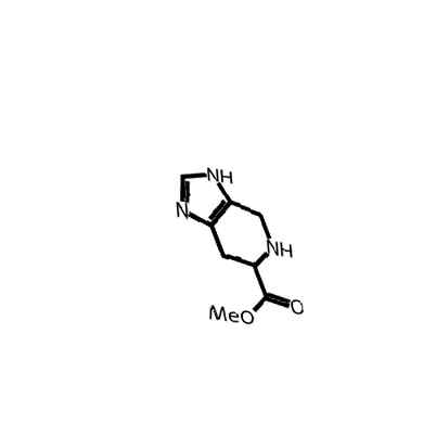 COC(=O)C1Cc2nc[nH]c2CN1